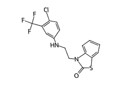 O=c1sc2ccccc2n1CCNc1ccc(Cl)c(C(F)(F)F)c1